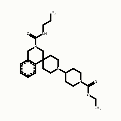 CCCNC(=O)N1Cc2ccccc2C2(CCN(C3CCN(C(=O)OCC)CC3)CC2)C1